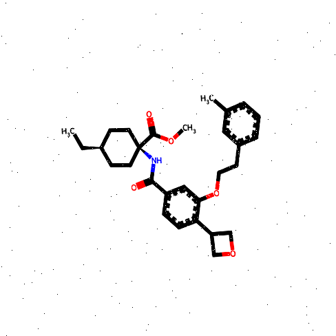 CC[C@H]1CC[C@](NC(=O)c2ccc(C3COC3)c(OCCc3cccc(C)c3)c2)(C(=O)OC)CC1